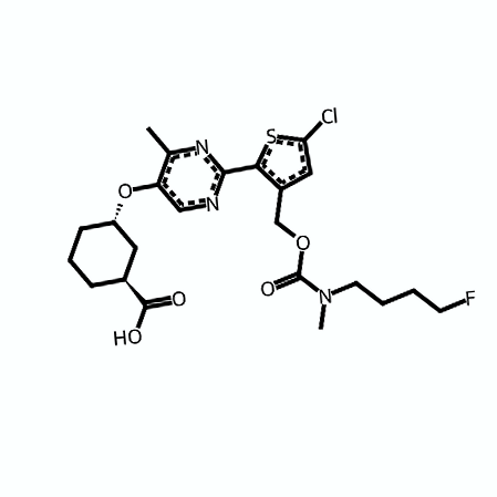 Cc1nc(-c2sc(Cl)cc2COC(=O)N(C)CCCCF)ncc1O[C@H]1CCC[C@H](C(=O)O)C1